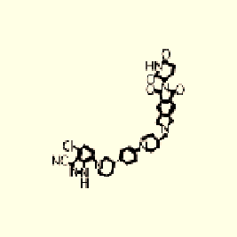 N#Cc1n[nH]c2c(N3CCC[C@@H](c4ccc(N5CCC(CN6Cc7cc8c(cc7C6)C(=O)N(C6CCC(=O)NC6=O)C8=O)CC5)cc4)C3)ccc(Cl)c12